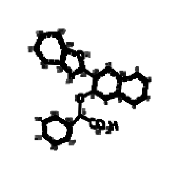 O=C(O)C(Oc1cc2ccccc2cc1-c1nc2ccccc2o1)c1ccccc1